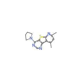 Cc1cc(C)c2c(n1)sc1c(N3CCCC3)ncnc12